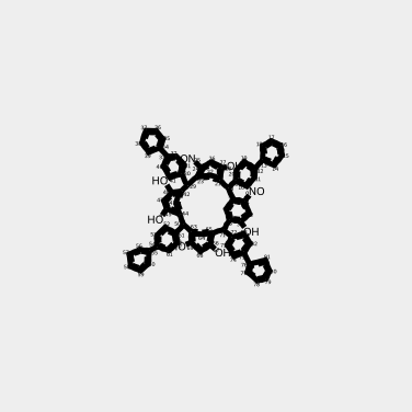 O=Nc1cc(O)c2cc1C(c1ccc(-c3ccccc3)cc1)c1cc(c(N=O)cc1O)C(c1ccc(-c3ccccc3)cc1)c1cc(c(O)cc1O)C(c1ccc(-c3ccccc3)cc1)c1cc(c(O)cc1O)C2c1ccc(-c2ccccc2)cc1